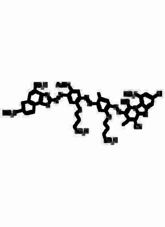 CC(=O)Nc1cc(N=Nc2cc(OCCCS(=O)(=O)O)c(N=Nc3c(C)c(C#N)c4nc5cc(Cl)cc(S(=O)(=O)O)c5n4c3O)cc2C)c(SCCCS(=O)(=O)O)cc1N=Nc1nc2c(S(=O)(=O)O)cc3cc(S(=O)(=O)O)ccc3c2s1